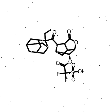 CCC1(C(=O)C2C3CC4C(OC(=O)C42)C3OC(=O)C(F)(F)S(=O)(=O)O)C2CC3CC(C2)CC1C3